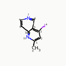 Cc1cc(I)c2cnccc2n1